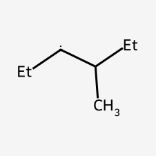 CC[CH]C(C)CC